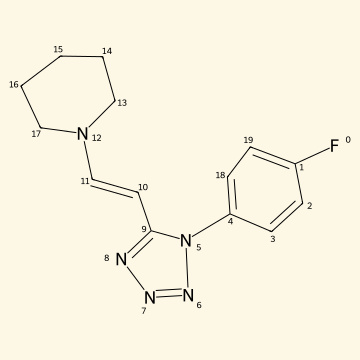 Fc1ccc(-n2nnnc2/C=C/N2CCCCC2)cc1